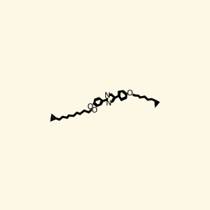 c1cc(-c2cnc(-c3ccc4c(c3)OC(CCCCCCCCCC3CC3)O4)nc2)ccc1OCCCCCCC1CC1